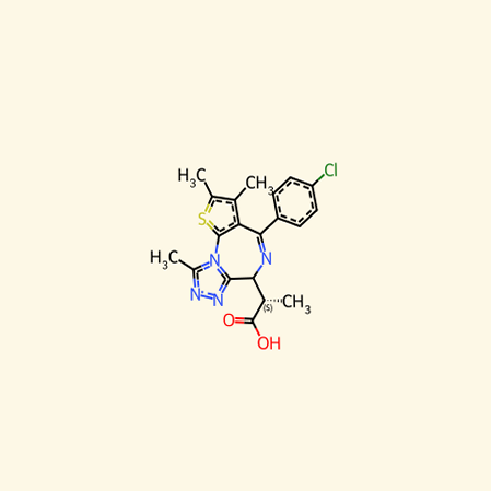 Cc1sc2c(c1C)C(c1ccc(Cl)cc1)=NC([C@H](C)C(=O)O)c1nnc(C)n1-2